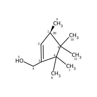 C[C@@H]1C=C(CO)C(C)(C)C1(C)C